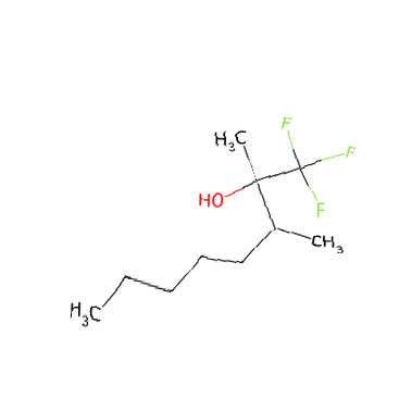 CCCCCC(C)C(C)(O)C(F)(F)F